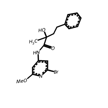 COc1cc(NC(=O)C(C)(O)CCc2ccccc2)cc(Br)n1